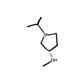 CN[C@H]1CCN(C(C)C)C1